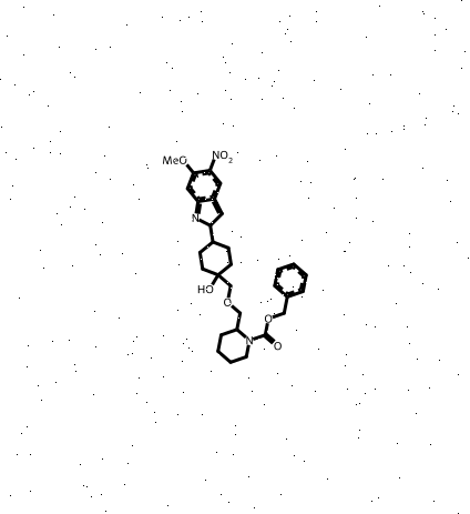 COc1cc2c(cc1[N+](=O)[O-])=CC(C1CCC(O)(COCC3CCCCN3C(=O)OCc3ccccc3)CC1)N=2